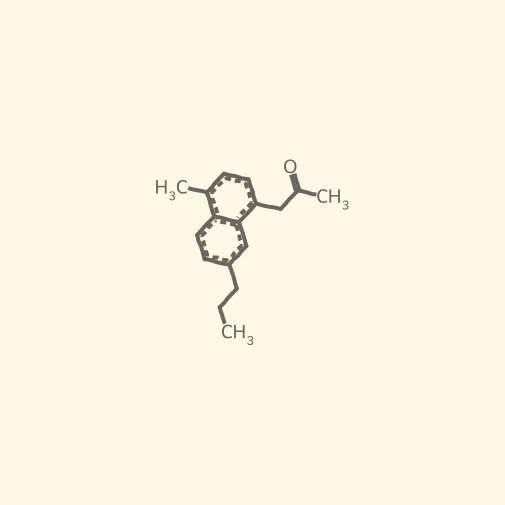 CCCc1ccc2c(C)ccc(CC(C)=O)c2c1